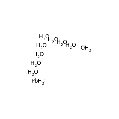 O.O.O.O.O.O.O.O.O.[PbH2]